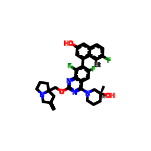 C=C1CN2CCCC2(COc2nc(N3CCC[C@@](C)(O)C3)c3cc(F)c(-c4cc(O)cc5ccc(F)c(CC)c45)c(F)c3n2)C1